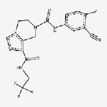 N#Cc1cc(NC(=O)N2CCn3cnc(C(=O)NCC(F)(F)F)c3C2)ccc1F